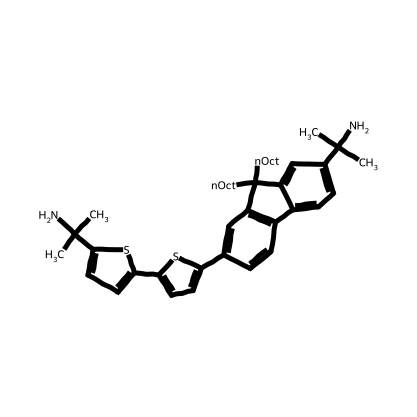 CCCCCCCCC1(CCCCCCCC)c2cc(-c3ccc(-c4ccc(C(C)(C)N)s4)s3)ccc2-c2ccc(C(C)(C)N)cc21